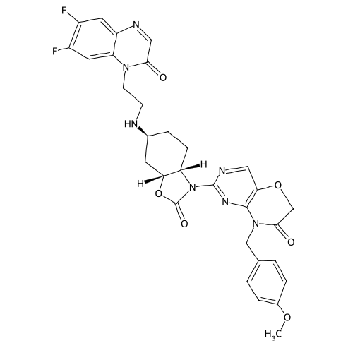 COc1ccc(CN2C(=O)COc3cnc(N4C(=O)O[C@@H]5C[C@@H](NCCn6c(=O)cnc7cc(F)c(F)cc76)CC[C@@H]54)nc32)cc1